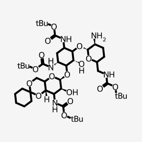 CC(C)(C)OC(=O)NCC1CC[C@H](N)[C@@H](OC2C(NC(=O)OC(C)(C)C)C[C@@H](NC(=O)OC(C)(C)C)C(O[C@@H]3OC4COC5(CCCCC5)O[C@H]4C(NC(=O)OC(C)(C)C)[C@@H]3O)[C@H]2O)O1